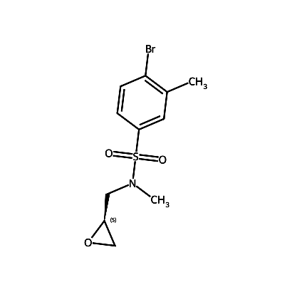 Cc1cc(S(=O)(=O)N(C)C[C@H]2CO2)ccc1Br